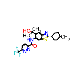 CC(C)(O)c1cc2nc([C@H]3CC[C@H](C)CC3)sc2cc1NC(=O)c1ccc(C(F)(F)F)nn1